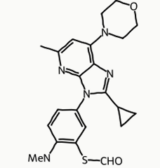 CNc1ccc(-n2c(C3CC3)nc3c(N4CCOCC4)cc(C)nc32)cc1SC=O